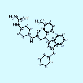 Cc1cccc(C(CC(=O)NC2CCC(NC(=N)N)CC2)c2cn(CC3CCCCC3)c3ccccc23)c1